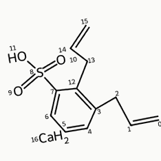 C=CCc1cccc(S(=O)(=O)O)c1CC=C.[CaH2]